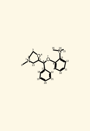 CN1CCOC(C(Oc2ccccc2N(C)C)c2ccccc2)C1